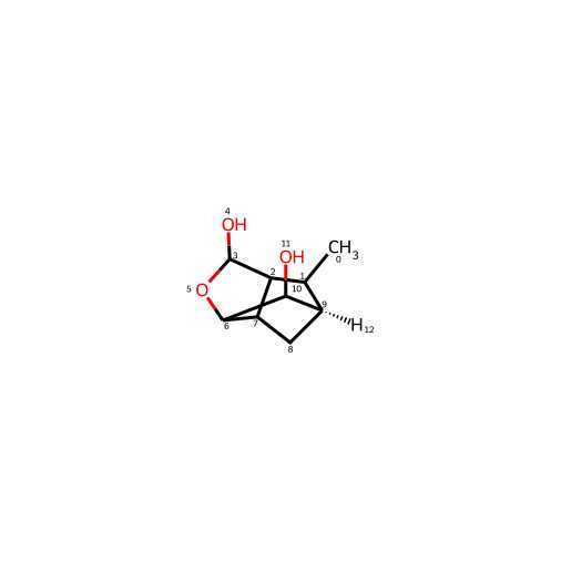 CC1C2C(O)OC3C2C[C@H]1C3O